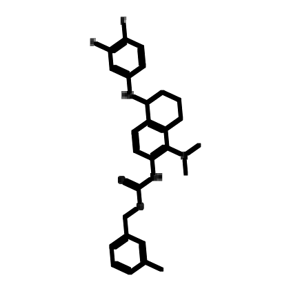 Cc1cccc(COC(=O)Nc2ccc3c(c2N(C)C)CCCC3Nc2ccc(F)c(F)c2)c1